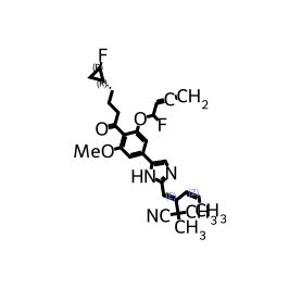 C=C=CC(F)Oc1cc(-c2cnc(/C=C(\C=C/C)C(C)(C)C#N)[nH]2)cc(OC)c1C(=O)CCC[C@@H]1C[C@H]1F